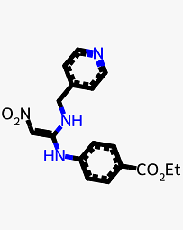 CCOC(=O)c1ccc(NC(=C[N+](=O)[O-])NCc2ccncc2)cc1